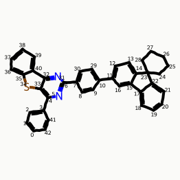 c1ccc(-c2nc(-c3ccc(-c4ccc5c(c4)-c4ccccc4C54CCCCC4)cc3)nc3c2sc2ccccc23)cc1